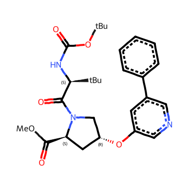 COC(=O)[C@@H]1C[C@@H](Oc2cncc(-c3ccccc3)c2)CN1C(=O)[C@@H](NC(=O)OC(C)(C)C)C(C)(C)C